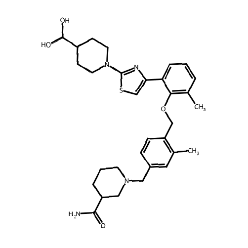 Cc1cc(CN2CCCC(C(N)=O)C2)ccc1COc1c(C)cccc1-c1csc(N2CCC(C(O)O)CC2)n1